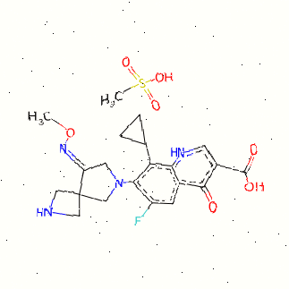 CON=C1CN(c2c(F)cc3c(=O)c(C(=O)O)c[nH]c3c2C2CC2)CC12CNC2.CS(=O)(=O)O